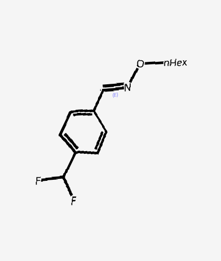 CCCCCCO/N=[C]/c1ccc(C(F)F)cc1